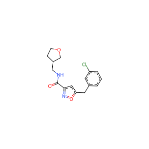 O=C(NCC1CCOC1)c1cc(Cc2cccc(Cl)c2)on1